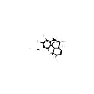 [2H]c1c([2H])c2c3c(c1OC)OC1([2H])C(O)C=C[C@H]4[C@H](N(C)CC[C@@]341)C2([2H])[2H]